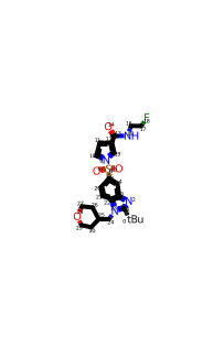 CC(C)(C)c1nc2cc(S(=O)(=O)n3ccc(C(=O)NCCF)c3)ccc2n1CC1CCOCC1